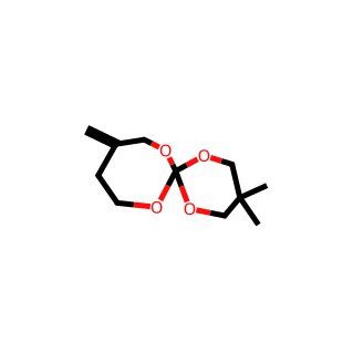 C=C1CCOC2(OC1)OCC(C)(C)CO2